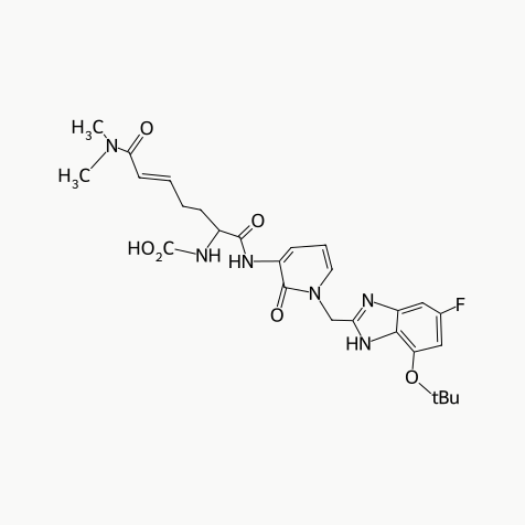 CN(C)C(=O)/C=C/CCC(NC(=O)O)C(=O)Nc1cccn(Cc2nc3cc(F)cc(OC(C)(C)C)c3[nH]2)c1=O